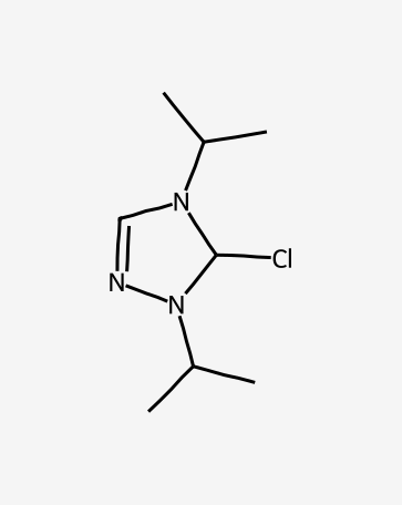 CC(C)N1C=NN(C(C)C)C1Cl